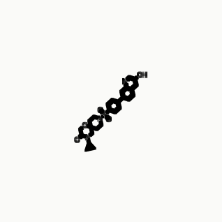 O=C1COC2(CCN(S(=O)(=O)c3ccc(-c4ccc5cc(O)cnc5c4)cc3)CC2)CN1C1CC1